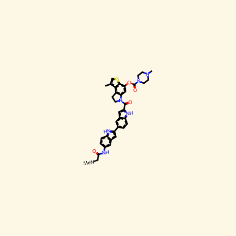 CNCC(=O)Nc1ccc2[nH]c(-c3ccc4[nH]c(C(=O)N5CCc6c5cc(OC(=O)N5CCN(C)CC5)c5scc(C)c65)cc4c3)cc2c1